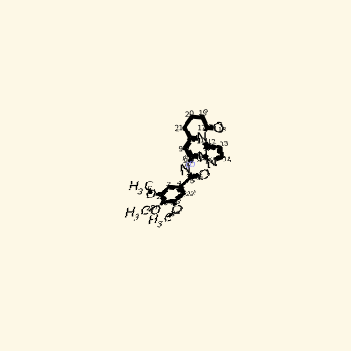 COc1cc(C(=O)/N=c2/cc3n(c4ccnn24)C(=O)CCC3)cc(OC)c1OC